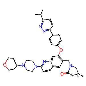 CC(C)c1ccc(-c2ccc(Oc3cc4nc(N5CCN(C6CCOCC6)CC5)ccc4cc3CN3C[C@@H](C)CC3=O)cc2)nn1